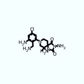 CC1(C)CN(c2cc(Cl)cc(N)c2CN)CCC12C(=O)N(N)C(=O)N2N